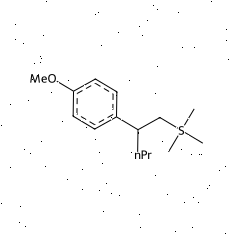 CCCC(CS(C)(C)C)c1ccc(OC)cc1